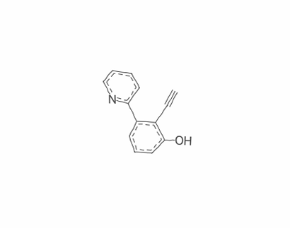 C#Cc1c(O)cccc1-c1ccccn1